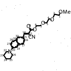 COCCOCCOCCOC(=O)/C(C#N)=C/c1ccc2cc(N3CCCCC3)ccc2c1